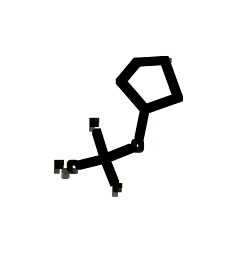 FC(F)(F)C(F)(F)OC1C[CH]CC1